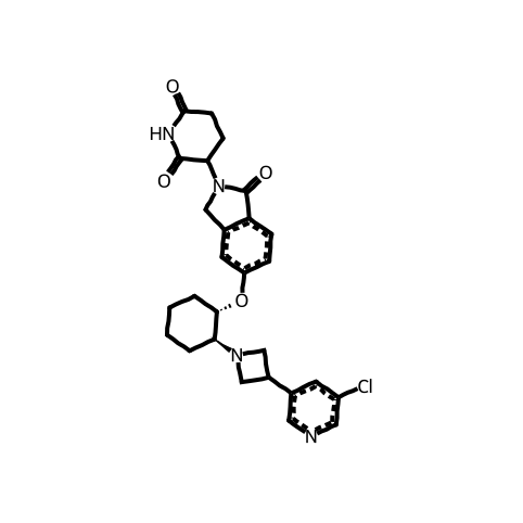 O=C1CCC(N2Cc3cc(O[C@H]4CCCC[C@@H]4N4CC(c5cncc(Cl)c5)C4)ccc3C2=O)C(=O)N1